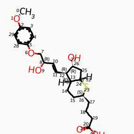 COc1ccc(OC[C@H](O)C=C[C@@H]2[C@H]3CC[C@H](CCCC(=O)O)S[C@H]3C[C@H]2O)cc1